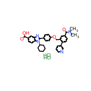 CN(C)C(=O)c1ccc(-c2cccnc2)c(COc2ccc(-c3nc4cc(C(=O)O)ccc4n3C3CCCCC3)cc2)c1.Cl.Cl